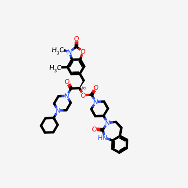 Cc1cc(C[C@@H](OC(=O)N2CCC(N3CCc4ccccc4NC3=O)CC2)C(=O)N2CCN(C3CCCCC3)CC2)cc2oc(=O)n(C)c12